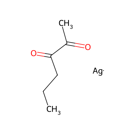 CCCC(=O)C(C)=O.[Ag]